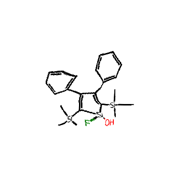 C[Si](C)(C)C1=C(c2ccccc2)C(c2ccccc2)=C([Si](C)(C)C)[Si]1(O)F